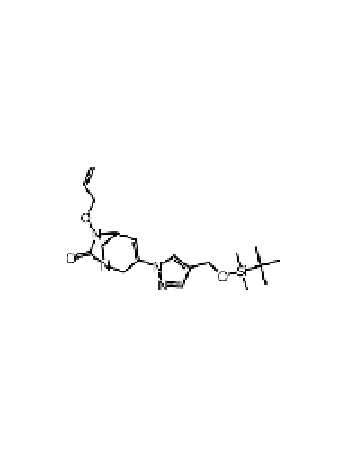 C=CCON1C(=O)N2CC(n3cc(CO[Si](C)(C)C(C)(C)C)cn3)=CC1C2